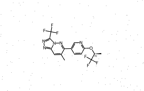 Cc1cc2nnc(C(F)(F)F)n2nc1-c1ccc(O[C@@H](C)C(F)(F)F)nc1